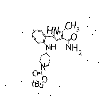 Cc1[nH]c(-c2ccccc2NC2CCN(C(=O)OC(C)(C)C)CC2)cc1C(N)=O